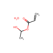 C=CC(=O)OC(C)O.O